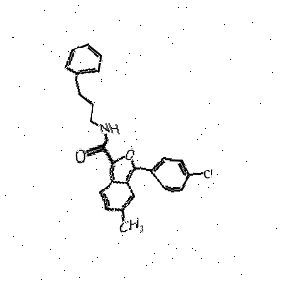 Cc1ccc2c(C(=O)NCCCc3ccccc3)oc(-c3ccc(Cl)cc3)c2c1